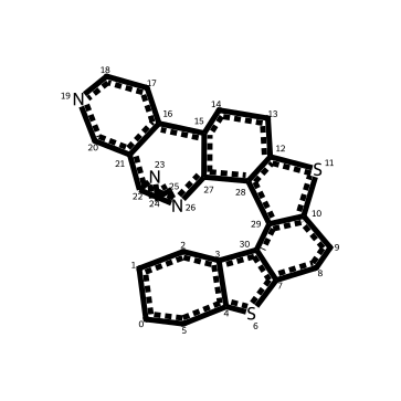 c1ccc2c(c1)sc1ccc3sc4ccc5c6ccncc6c6nccn6c5c4c3c12